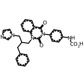 O=C(O)Nc1ccc(-n2c(=O)c3ccccc3n(CC(Cc3ccccc3)Cn3ccnc3)c2=O)cc1